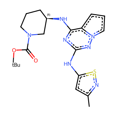 Cc1cc(Nc2nc(N[C@@H]3CCCN(C(=O)OC(C)(C)C)C3)c3cccn3n2)sn1